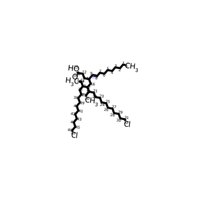 CCCCCCCC/C=C/C(CCC(=O)O)CC(C(CC)CCCCCCCCCCCCl)C(CC)CCCCCCCCCCCCl